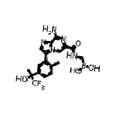 Cc1ccc(C(C)(O)C(F)(F)F)cc1-c1cnc2c(N)nc(C(=O)NCB(O)O)cn12